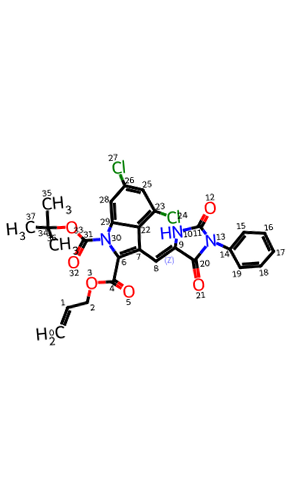 C=CCOC(=O)c1c(/C=C2\NC(=O)N(c3ccccc3)C2=O)c2c(Cl)cc(Cl)cc2n1C(=O)OC(C)(C)C